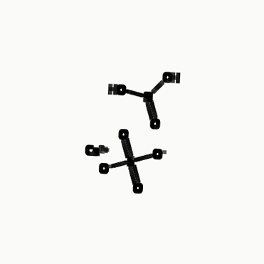 O=S(=O)([O-])[O-].O=[Si](O)O.[Ca+2]